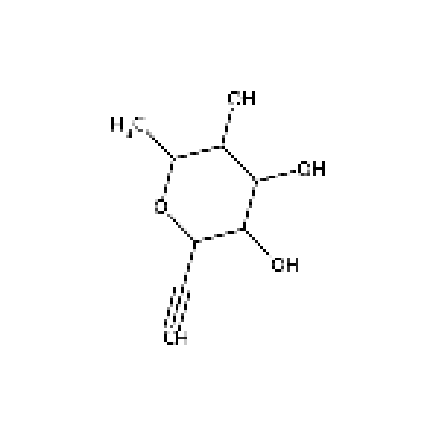 C#CC1OC(C)C(O)C(O)C1O